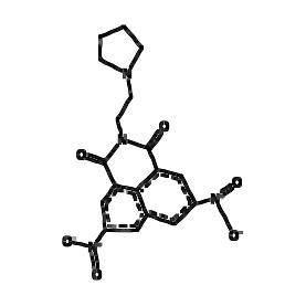 O=C1c2cc([N+](=O)[O-])cc3cc([N+](=O)[O-])cc(c23)C(=O)N1CCN1CCCC1